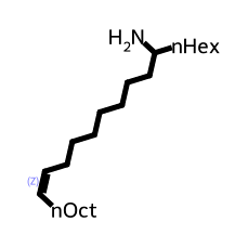 CCCCCCCC/C=C\CCCCCCCC(N)CCCCCC